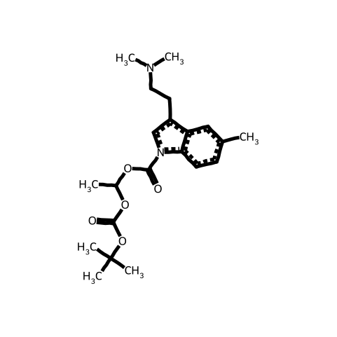 Cc1ccc2c(c1)c(CCN(C)C)cn2C(=O)OC(C)OC(=O)OC(C)(C)C